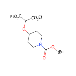 CCOC(=O)C(OC1CCN(C(=O)OC(C)(C)C)CC1)C(=O)OCC